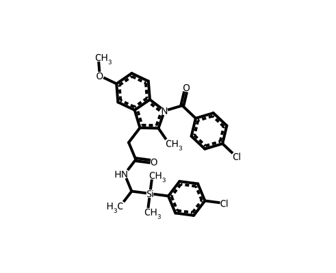 COc1ccc2c(c1)c(CC(=O)NC(C)[Si](C)(C)c1ccc(Cl)cc1)c(C)n2C(=O)c1ccc(Cl)cc1